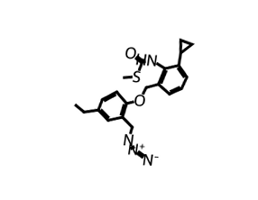 CCc1ccc(OCc2cccc(C3CC3)c2NC(=O)SC)c(CN=[N+]=[N-])c1